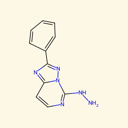 NNc1nccc2nc(-c3ccccc3)nn12